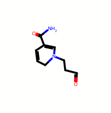 NC(=O)C1=CN(CC[C]=O)CC=C1